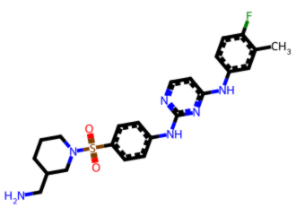 Cc1cc(Nc2ccnc(Nc3ccc(S(=O)(=O)N4CCCC(CN)C4)cc3)n2)ccc1F